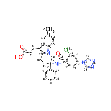 Cc1ccc2c(c1)c(/C=C/C(=O)O)c1n2C[C@@](NC(=O)c2ccc(-n3cnnc3)cc2Cl)(c2ccccc2)CC1